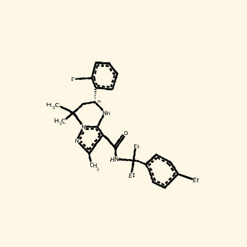 CCc1ccc(C(CC)(CC)NC(=O)c2c(C)nn3c2N[C@@H](c2ccccc2F)CC3(C)C)cc1